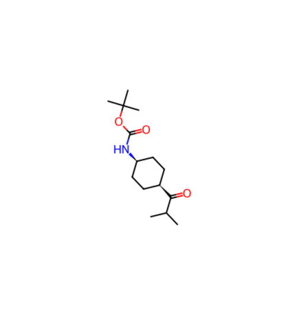 CC(C)C(=O)[C@H]1CC[C@@H](NC(=O)OC(C)(C)C)CC1